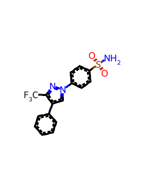 NS(=O)(=O)c1ccc(-n2cc(-c3ccccc3)c(C(F)(F)F)n2)cc1